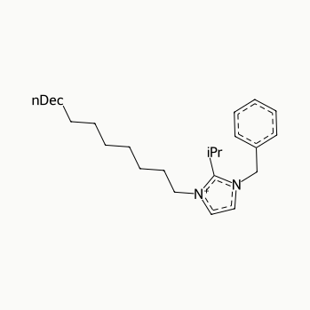 CCCCCCCCCCCCCCCCC[n+]1ccn(Cc2ccccc2)c1C(C)C